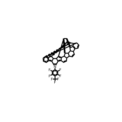 Fc1c(F)c(C(F)(F)F)c(F)c(F)c1N1C2=C1C1=c3ccc4c5c6c7c8c(c35)C1C1C2=C2C=CC3C5C2=C1C=8C1=C5C2C3C=CC3C5=C(C(=C17)C32)C6C4C=C5